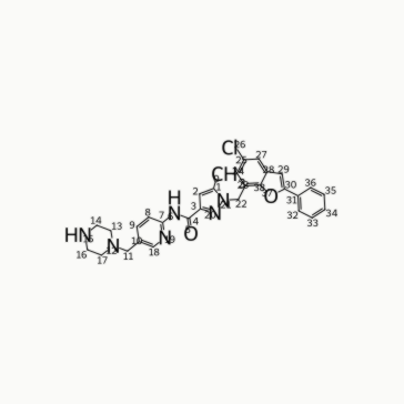 Cc1cc(C(=O)Nc2ccc(CN3CCNCC3)cn2)nn1Cc1cc(Cl)cc2cc(-c3ccccc3)oc12